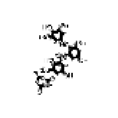 CC(C)(C)c1cc(O)cc(C(C)(C)C)c1O.CC(C)(C)c1cc(O)cc(C(C)(C)C)c1O.CC(C)(C)c1cc(O)cc(C(C)(C)C)c1O.O=c1[nH]c(=O)[nH]c(=O)[nH]1